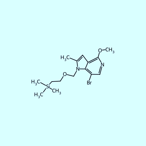 COc1ncc(Br)c2c1cc(C)n2COCC[Si](C)(C)C